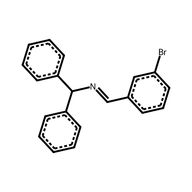 Brc1cccc(C=NC(c2ccccc2)c2ccccc2)c1